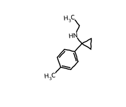 CCNC1(c2ccc(C)cc2)CC1